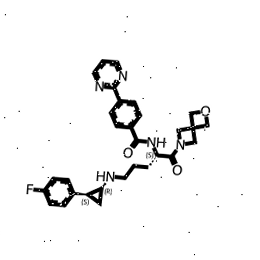 O=C(N[C@@H](CCCN[C@@H]1C[C@H]1c1ccc(F)cc1)C(=O)N1CC2(COC2)C1)c1ccc(-c2ncccn2)cc1